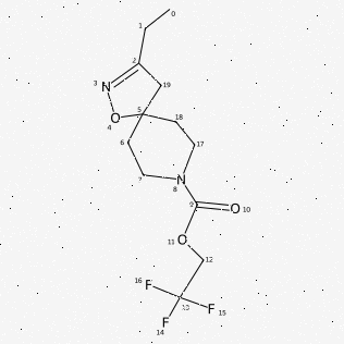 CCC1=NOC2(CCN(C(=O)OCC(F)(F)F)CC2)C1